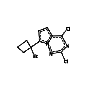 CCC1(c2ccc3c(Cl)nc(Cl)nn23)CCC1